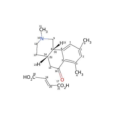 Cc1cc(C)c2c(c1)[C@H]1CN(C)CC[C@H]1CC2=O.O=C(O)C=CC(=O)O